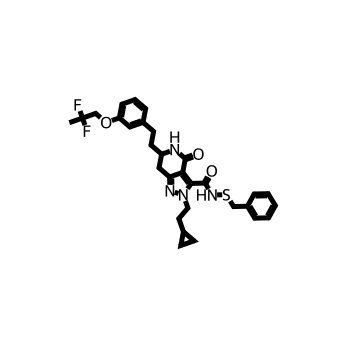 CC(F)(F)COc1cccc(CCC2Cc3nn(CCC4CC4)c(C(=O)NSCc4ccccc4)c3C(=O)N2)c1